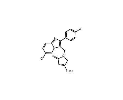 COC1=CC(=O)N(Cc2c(-c3ccc(Cl)cc3)nc3ccc(Cl)cn23)C1